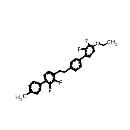 CCOc1ccc(-c2ccc(CCc3ccc(-c4ccc(C)cc4)c(F)c3F)cc2)c(F)c1F